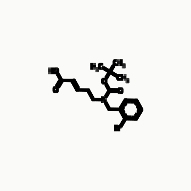 CC(C)(C)OC(=O)N(CCC=CC(=O)O)Cc1ccccc1Br